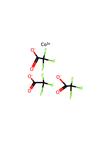 O=C([O-])C(F)(F)F.O=C([O-])C(F)(F)F.O=C([O-])C(F)(F)F.[Co+3]